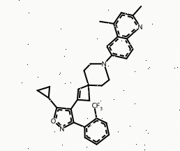 Cc1cc(C)c2cc(N3CCC4(C=C(c5c(-c6ccccc6C(F)(F)F)noc5C5CC5)C4)CC3)ccc2n1